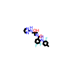 Cc1ccc(Nc2c(C(=O)N3CC(O)(CNc4ncccn4)C3)ccc(F)c2F)c(F)c1